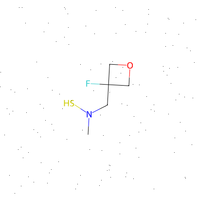 CN(S)CC1(F)COC1